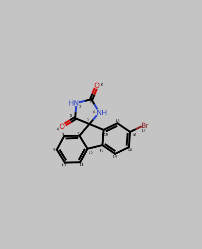 O=C1NC(=O)C2(N1)c1ccccc1-c1ccc(Br)cc12